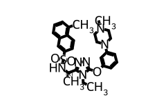 CCn1c(Oc2cccc(N3CCN(C)CC3)c2)nnc1[C@@H](C)NS(=O)(=O)c1ccc2c(C)cccc2c1